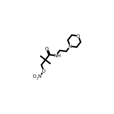 CC(C)(CO[N+](=O)[O-])C(=O)NCCN1CCOCC1